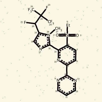 CCS(=O)(=O)c1ccc(-c2ncccn2)nc1-c1ncc(C(F)C(F)(C(F)(F)F)C(F)(F)F)n1C